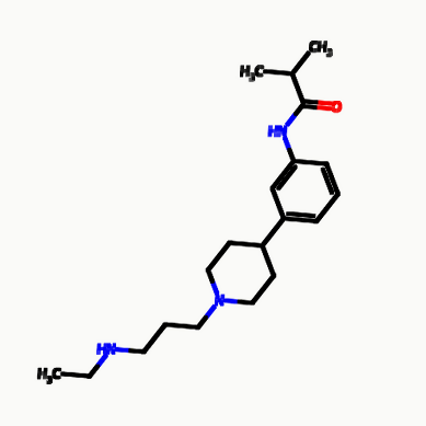 CCNCCCN1CCC(c2cccc(NC(=O)C(C)C)c2)CC1